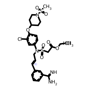 CCOC(=O)CS(=O)(=O)N(C/C=C/c1cccc(C(=N)N)c1)c1ccc(OC2CCN(S(C)(=O)=O)CC2)c(Cl)c1.Cl